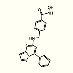 O=C(NO)c1ccc(CNc2cc(-c3ccccc3)n3nccc3n2)cc1